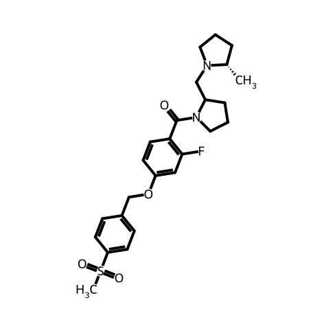 C[C@H]1CCCN1CC1CCCN1C(=O)c1ccc(OCc2ccc(S(C)(=O)=O)cc2)cc1F